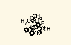 C[C@@H]1CN(c2c(CO[Si](c3ccccc3)(c3ccccc3)C(C)(C)C)cc(/C(=N/O)c3scnc3C#N)c(F)c2F)C[C@H](C)O1